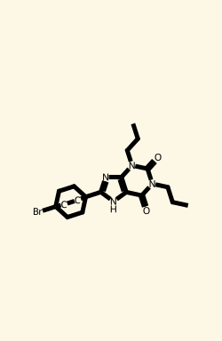 CCCn1c(=O)c2[nH]c(C34CCC(Br)(CC3)CC4)nc2n(CCC)c1=O